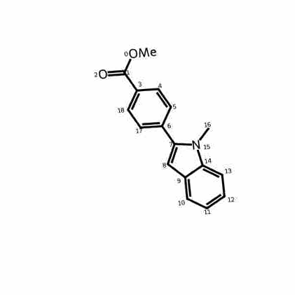 COC(=O)c1ccc(-c2cc3ccccc3n2C)cc1